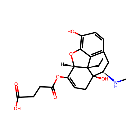 CC[C@]12c3c4ccc(O)c3O[C@H]1C(OC(=O)CCC(=O)O)=CC[C@@]2(O)[C@H](NC)C4